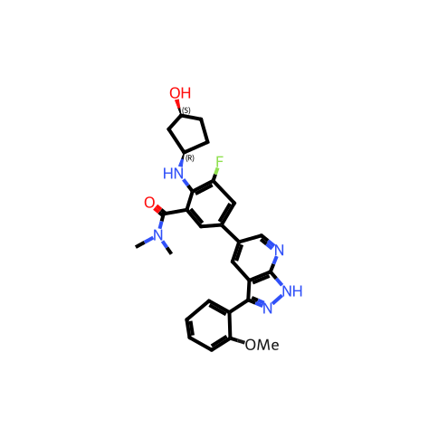 COc1ccccc1-c1n[nH]c2ncc(-c3cc(F)c(N[C@@H]4CC[C@H](O)C4)c(C(=O)N(C)C)c3)cc12